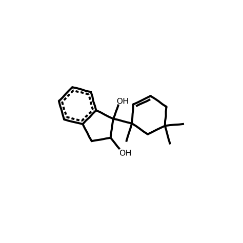 CC1(C)CC=CC(C)(C2(O)c3ccccc3CC2O)C1